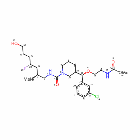 CN[C@H](CNC(=O)N1CCC[C@@H]([C@@H](OCCNC(=O)OC)c2cccc(Cl)c2)C1)C[C@H](I)CCCO